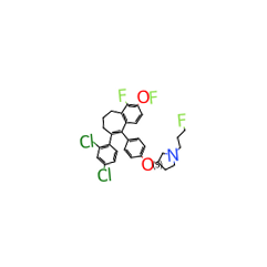 FCCCN1CC[C@H](Oc2ccc(C3=C(c4ccc(Cl)cc4Cl)CCCc4c3ccc(OF)c4F)cc2)C1